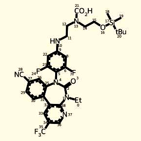 CCN1C(=O)N(c2c(F)cc(NCCN(CCO[Si](C)(C)C(C)(C)C)C(=O)O)cc2F)c2cc(C#N)ccc2-c2cc(C(F)(F)F)cnc21